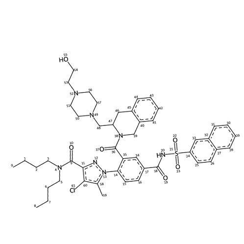 CCCCN(CCCC)C(=O)c1nn(-c2ccc(C(=O)NS(=O)(=O)c3ccc4ccccc4c3)cc2C(=O)N2Cc3ccccc3CC2CN2CCN(CCO)CC2)c(C)c1Cl